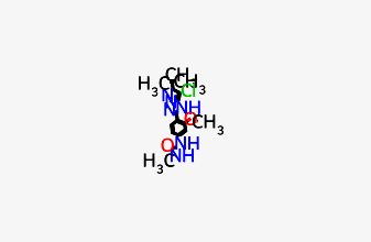 CNC(=O)Nc1ccc(-c2nn3nc(C(C)(C)C)c(Cl)c3[nH]2)c(OC)c1